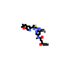 CC(=O)OC(=O)CCC(=O)N(C)c1cnc(Nc2nc(-c3cc4c(cn3)OC(C)(C)C4)cs2)c(C(F)(F)F)c1